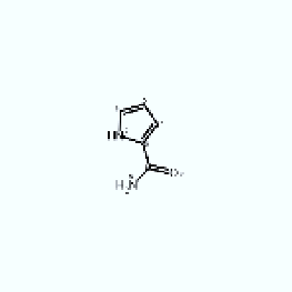 NC(=O)c1[c]cc[nH]1